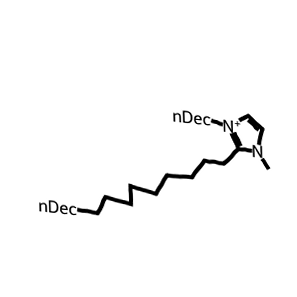 CCCCCCCCCCCCCCCCCCCc1n(C)cc[n+]1CCCCCCCCCC